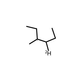 [2H]C(CC)[C](C)CC